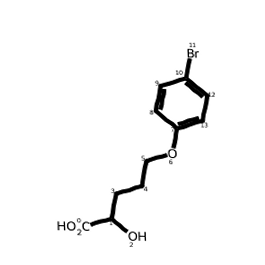 O=C(O)C(O)CCCOc1ccc(Br)cc1